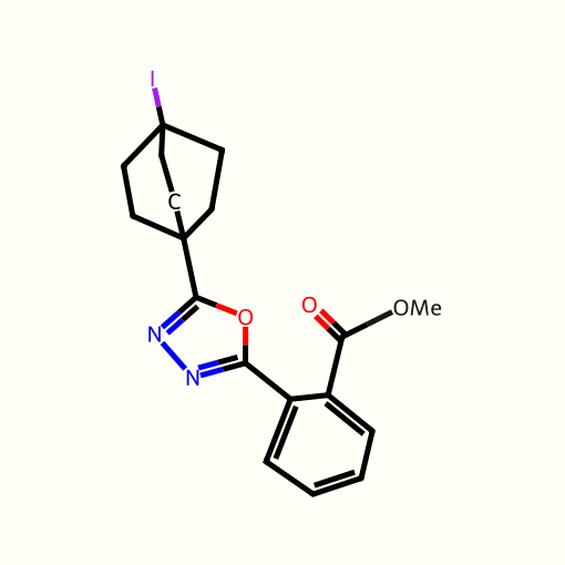 COC(=O)c1ccccc1-c1nnc(C23CCC(I)(CC2)CC3)o1